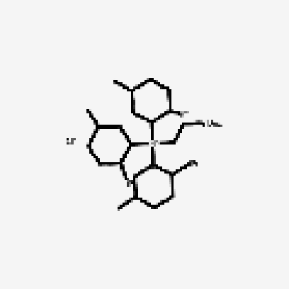 CCCCCCCCCCCC[N+](C1CC(C)CCC1C(C)C)(C1CC(C)CCC1C(C)C)C1CC(C)CCC1C(C)C.[Cl-]